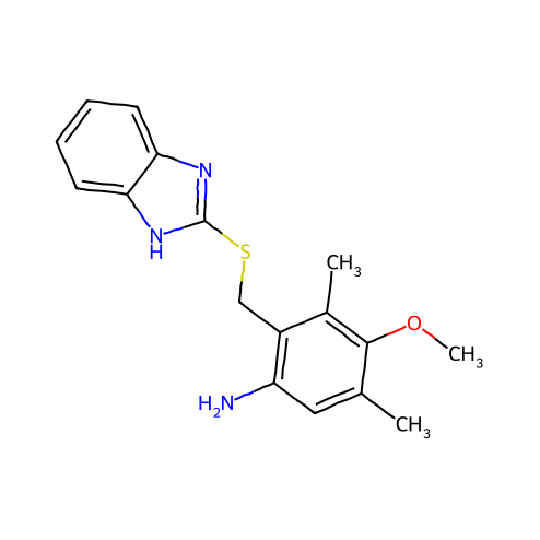 COc1c(C)cc(N)c(CSc2nc3ccccc3[nH]2)c1C